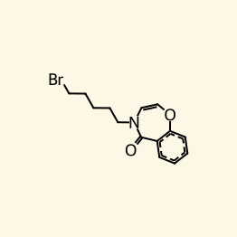 O=C1c2ccccc2OC=CN1CCCCCBr